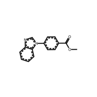 COC(=O)c1ccc(-n2cnc3ccccc32)cc1